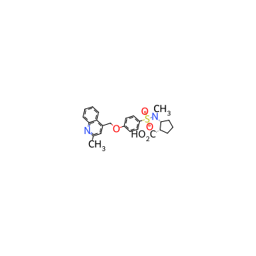 Cc1cc(COc2ccc(S(=O)(=O)N(C)[C@@H]3CCC[C@@H]3C(=O)O)cc2)c2ccccc2n1